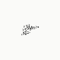 [Mn+2].[Ni+2].[S-2].[S-2]